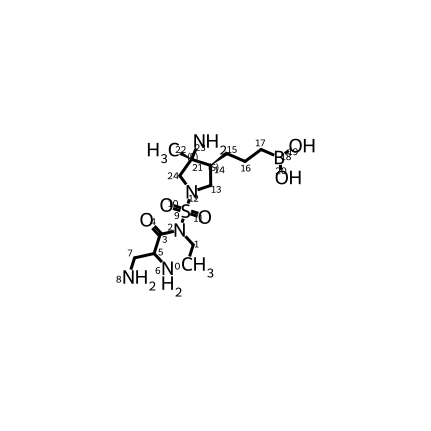 CCN(C(=O)C(N)CN)S(=O)(=O)N1C[C@H](CCCB(O)O)[C@@](C)(N)C1